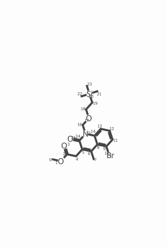 COC(=O)Cc1c(C)c2c(Br)cccc2n(COCC[Si](C)(C)C)c1=O